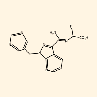 NC(=NC(F)C(=O)O)c1nn(Cc2cncnc2)c2ncccc12